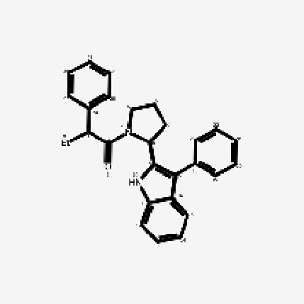 CCC(C(=O)N1CCCC1c1[nH]c2ccccc2c1-c1ccccc1)c1ccccc1